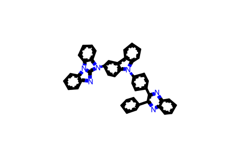 c1ccc(-c2nc3ccccc3nc2-c2ccc(-n3c4ccccc4c4cc(-n5c6ccccc6n6c7ccccc7nc56)ccc43)cc2)cc1